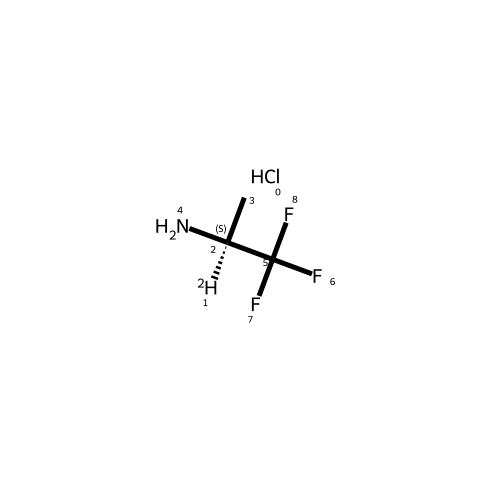 Cl.[2H][C@@](C)(N)C(F)(F)F